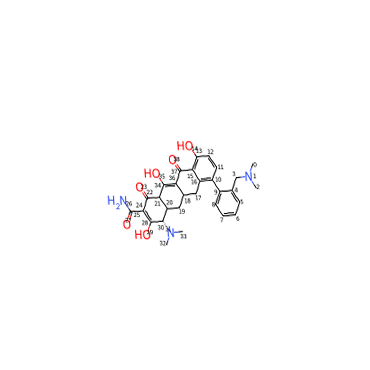 CN(C)Cc1ccccc1-c1ccc(O)c2c1CC1CC3C(C(=O)C(C(N)=O)=C(O)[C@H]3N(C)C)C(O)=C1C2=O